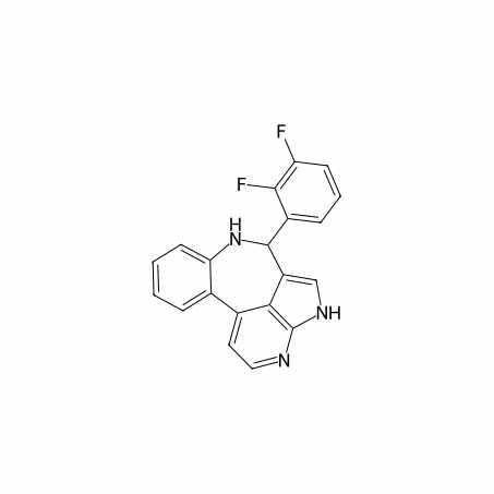 Fc1cccc(C2Nc3ccccc3-c3ccnc4[nH]cc2c34)c1F